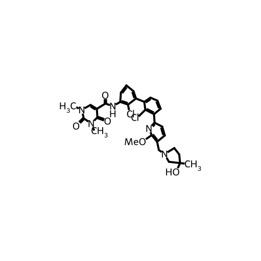 COc1nc(-c2cccc(-c3cccc(NC(=O)c4cn(C)c(=O)n(C)c4=O)c3Cl)c2Cl)ccc1CN1CCC(C)(O)C1